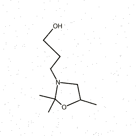 CC1CN(CCCO)C(C)(C)O1